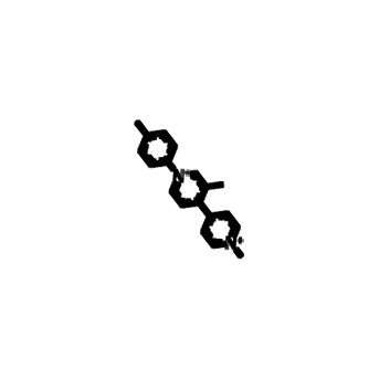 Cc1ccc(-[n+]2ccc(-c3cc[n+](C)cc3)c(C)c2)cc1